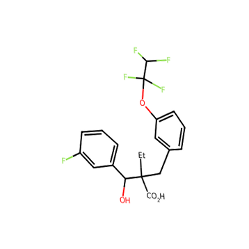 CCC(Cc1cccc(OC(F)(F)C(F)F)c1)(C(=O)O)C(O)c1cccc(F)c1